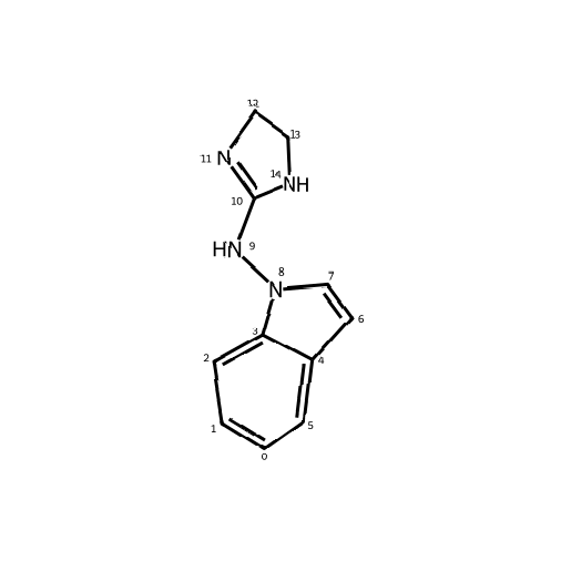 c1ccc2c(c1)ccn2NC1=NCCN1